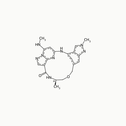 CNc1cc2nc3c(cnn13)C(=O)N[C@H](C)COCc1cc(c3cn(C)nc3c1)N2